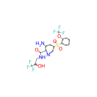 Nc1cc(S(=O)(=O)c2ccccc2OC(F)(F)F)cnc1C(=O)NC[C@@H](O)C(F)(F)F